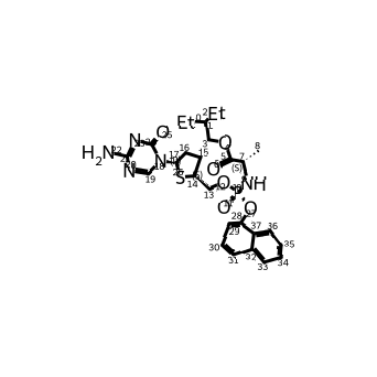 CCC(CC)COC(=O)[C@H](C)NP(=O)(OC[C@@H]1CC[C@H](n2cnc(N)nc2=O)S1)Oc1cccc2ccccc12